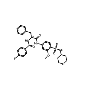 COc1cc(NC(=O)[C@H](Cc2ccccc2)NC(=O)c2ccc(F)cc2)ccc1S(=O)(=O)NC1CCOCC1